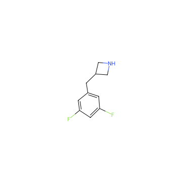 Fc1cc(F)cc(CC2CNC2)c1